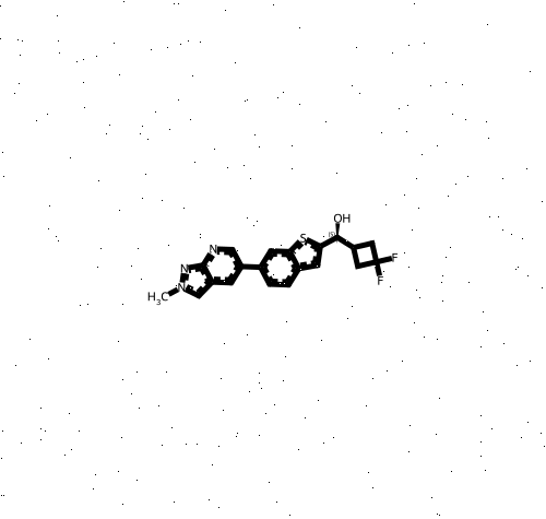 Cn1cc2cc(-c3ccc4cc([C@@H](O)C5CC(F)(F)C5)sc4c3)cnc2n1